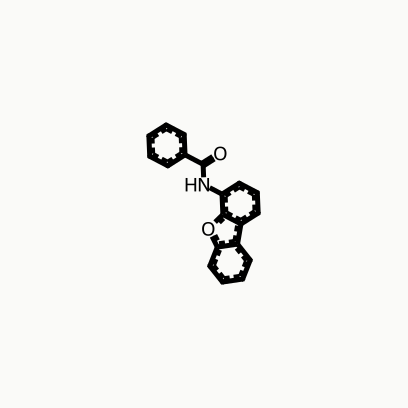 O=C(Nc1cccc2c1oc1ccccc12)c1ccccc1